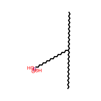 CCCCCCCCCCCCCCCCCCC(CCCCCCCCCCCCCCCCCC)CCCCCCCCCCCCCCCCCP(=O)(O)O